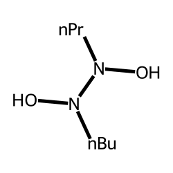 CCCCN(O)N(O)CCC